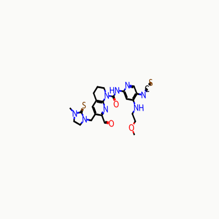 COCCNc1cc(NC(=O)N2CCCc3cc(CN4CCN(C)C4=S)c(C=O)nc32)ncc1N=C=S